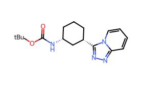 CC(C)(C)OC(=O)N[C@@H]1CCC[C@H](c2nnc3ccccn23)C1